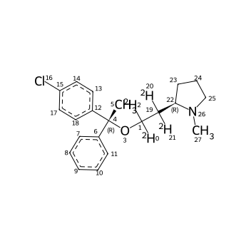 [2H]C([2H])(O[C@](C)(c1ccccc1)c1ccc(Cl)cc1)C([2H])([2H])[C@H]1CCCN1C